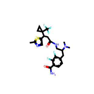 Cc1ncc(C(CC(=O)NCC(Cc2ccc(C(N)=O)c(F)c2F)N(C)C)C2(C(F)(F)F)CC2)s1